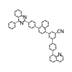 N#Cc1cc(-c2ccc(-c3cccc4cccnc34)cc2)cc(-c2ccc(-c3ccc(-c4nc(-c5ccccc5)c5ccccc5n4)cc3)c3ccccc23)c1